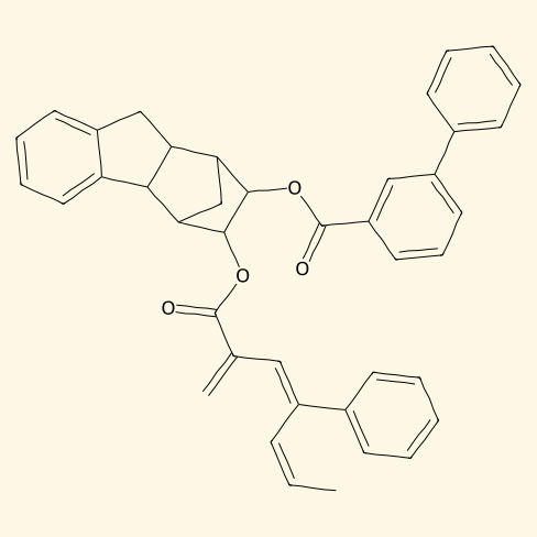 C=C(/C=C(\C=C/C)c1ccccc1)C(=O)OC1C2CC(C3Cc4ccccc4C32)C1OC(=O)c1cccc(-c2ccccc2)c1